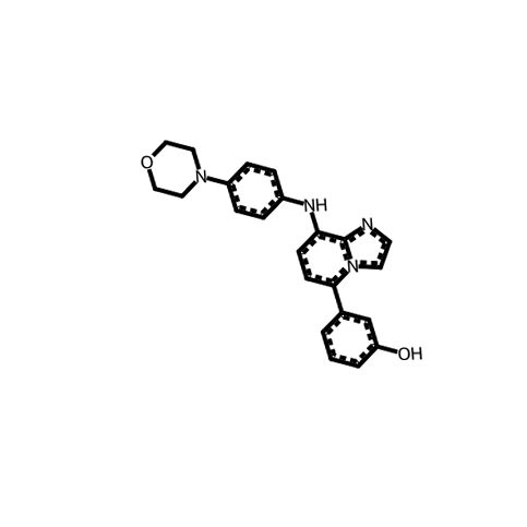 Oc1cccc(-c2ccc(Nc3ccc(N4CCOCC4)cc3)c3nccn23)c1